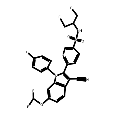 N#Cc1c(-c2ccc(S(=O)(=O)NC(CF)CF)cn2)n(-c2ccc(F)cc2)c2cc(OC(F)F)ccc12